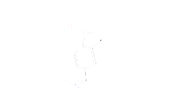 CC1(C)OB(O)c2ccc(/C(Cl)=N\O)cc21